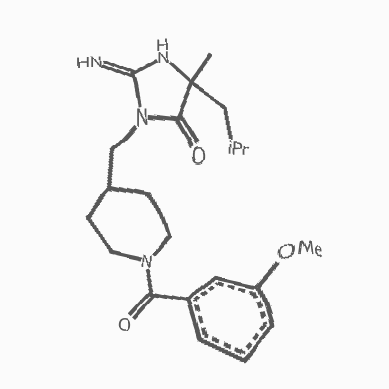 COc1cccc(C(=O)N2CCC(CN3C(=N)NC(C)(CC(C)C)C3=O)CC2)c1